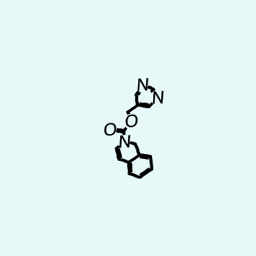 O=C(OCc1cncnc1)N1C=Cc2ccccc2C1